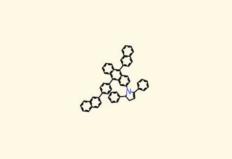 C1=C(c2ccccc2)N(c2ccc3c(-c4ccc5ccccc5c4)c4ccccc4c(-c4ccc(-c5ccc6ccccc6c5)cc4)c3c2)C(c2ccccc2)C1